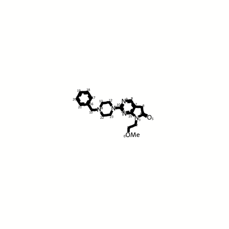 COCCN1C(=O)Cc2cnc(N3CCN(Cc4ccccc4)CC3)nc21